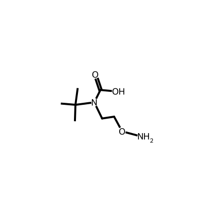 CC(C)(C)N(CCON)C(=O)O